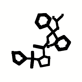 O=C(OCC(OC(F)F)(c1ccccc1)c1cccc[n+]1[O-])C1SCCN1S(=O)(=O)c1ccsc1